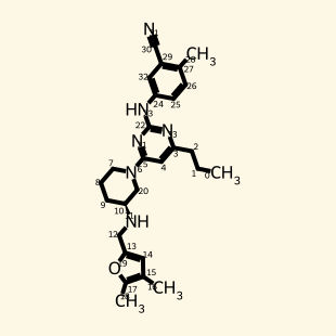 CCCc1cc(N2CCC[C@H](NCc3cc(C)c(C)o3)C2)nc(Nc2ccc(C)c(C#N)c2)n1